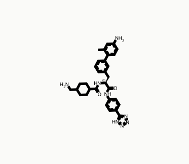 Cc1cc(N)ccc1-c1cccc(C[C@H](NC(=O)C2CCC(CN)CC2)C(=O)Nc2ccc(-c3nnn[nH]3)cc2)c1